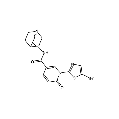 CC(C)c1cnc(-n2cc(C(=O)NC3CN4CCC3CC4)ccc2=O)s1